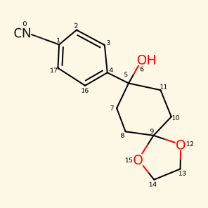 [C-]#[N+]c1ccc(C2(O)CCC3(CC2)OCCO3)cc1